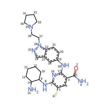 NC(=O)c1cc(F)c(NC2CCCCC2N)nc1Nc1ccc2c(cnn2CCN2CCCC2)c1